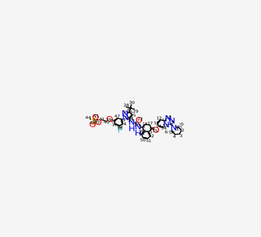 C[C@@H]1CCC[C@H](C)N1c1nnc2ccc(O[C@@H]3CCC(NC(=O)Nc4cc(C(C)(C)C)nn4-c4cc(F)cc(OCCOS(C)(=O)=O)c4)c4ccccc43)cn12